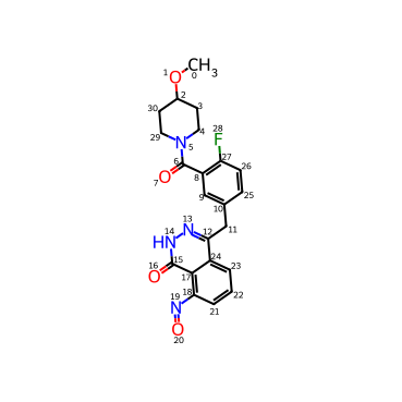 COC1CCN(C(=O)c2cc(Cc3n[nH]c(=O)c4c(N=O)cccc34)ccc2F)CC1